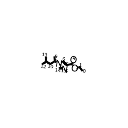 CCOC(=O)c1cn(C(C)CC(C)C)cn1